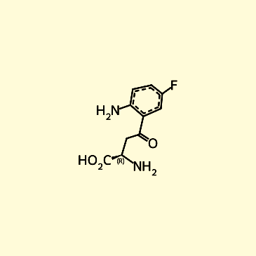 Nc1ccc(F)cc1C(=O)C[C@@H](N)C(=O)O